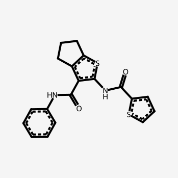 O=C(Nc1sc2c(c1C(=O)Nc1ccccc1)CCC2)c1cccs1